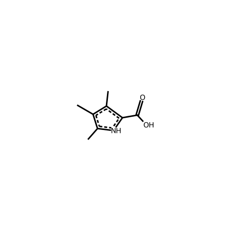 Cc1[nH]c(C(=O)O)c(C)c1C